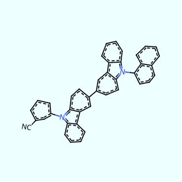 N#Cc1cccc(-n2c3ccccc3c3cc(-c4ccc5c(c4)c4ccccc4n5-c4cccc5ccccc45)ccc32)c1